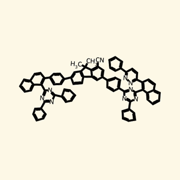 CC1(C)c2cc(-c3ccc(-c4ccc5ccccc5c4-c4nc(-c5ccccc5)nc(-c5ccccc5)n4)cc3)ccc2-c2cc(-c3ccc(-c4nc(-c5ccccc5)nc(-c5c(-c6ccc(-c7ccccc7)nn6)ccc6ccccc56)n4)cc3)cc(C#N)c21